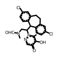 Cc1c(O)c(=O)cnn1C(CN(C)C=O)C1c2ccc(Cl)cc2CCc2cc(Cl)ccc21